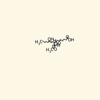 CCCCC[C@H](O)/C=C/[C@@H]1[C@H]2C/C(=C/CCCC(=O)O)O[C@H]2C[C@H]1OC(C)=O